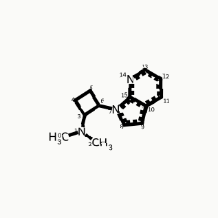 CN(C)C1CCC1n1ccc2cccnc21